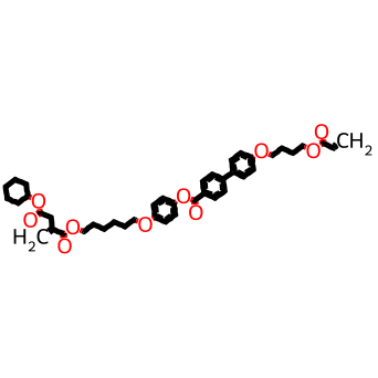 C=CC(=O)OCCCCOc1ccc(-c2ccc(C(=O)Oc3ccc(OCCCCCCOC(=O)C(=C)CC(=O)OC4CCCCC4)cc3)cc2)cc1